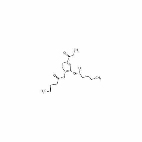 CCCCC(=O)Oc1ccc(C(=O)CC)cc1OC(=O)CCCC